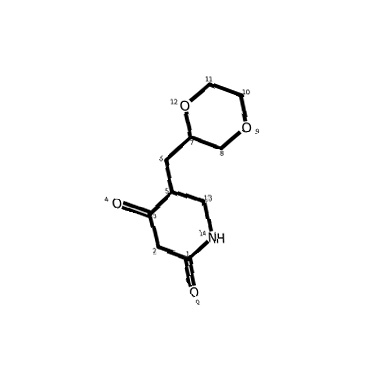 O=C1CC(=O)C(CC2COCCO2)CN1